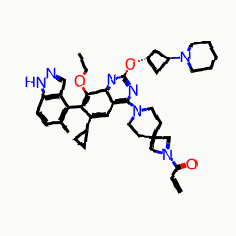 C=CC(=O)N1CC2(CCN(c3nc(O[C@H]4C[C@H](N5CCCCC5)C4)nc4c(OCC)c(-c5c(C)ccc6[nH]ncc56)c(C5CC5)cc34)CC2)C1